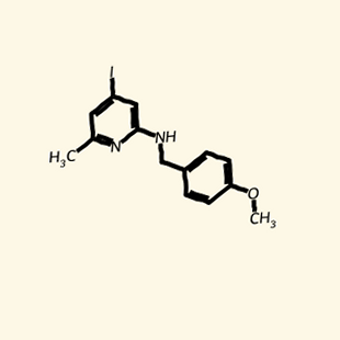 COc1ccc(CNc2cc(I)cc(C)n2)cc1